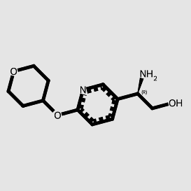 N[C@@H](CO)c1ccc(OC2CCOCC2)nc1